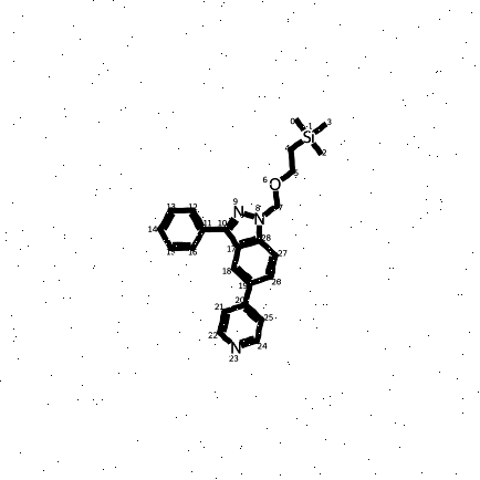 C[Si](C)(C)CCOCn1nc(-c2ccccc2)c2cc(-c3ccncc3)ccc21